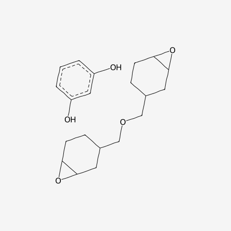 C1CC2OC2CC1COCC1CCC2OC2C1.Oc1cccc(O)c1